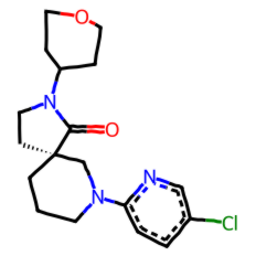 O=C1N(C2CCOCC2)CC[C@]12CCCN(c1ccc(Cl)cn1)C2